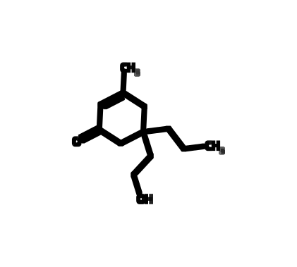 CCCC1(CCO)CC(=O)C=C(C)C1